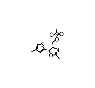 CC1=N[C@H](COS(C)(=O)=O)[C@H](c2cc(C)cs2)O1